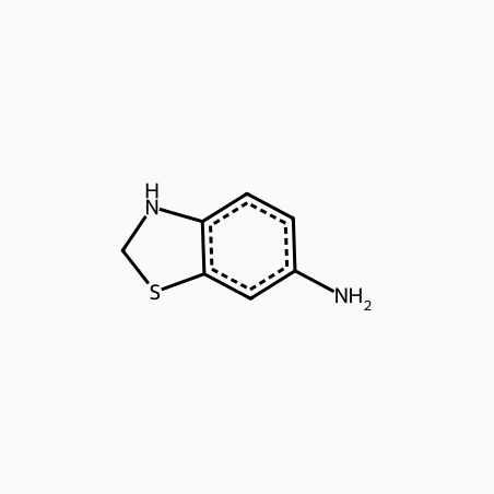 Nc1ccc2c(c1)SCN2